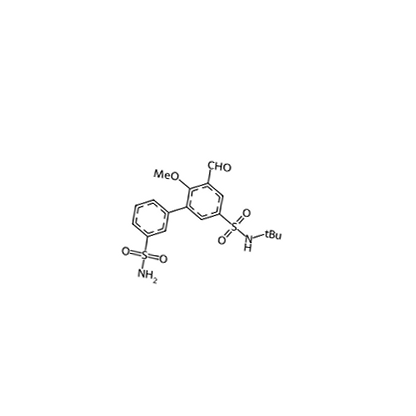 COc1c(C=O)cc(S(=O)(=O)NC(C)(C)C)cc1-c1cccc(S(N)(=O)=O)c1